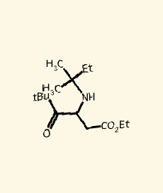 CCOC(=O)CC(NC(C)(C)CC)C(=O)C(C)(C)C